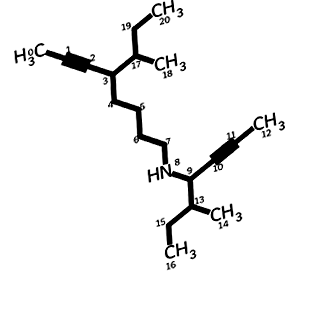 CC#CC(CCCCNC(C#CC)C(C)CC)C(C)CC